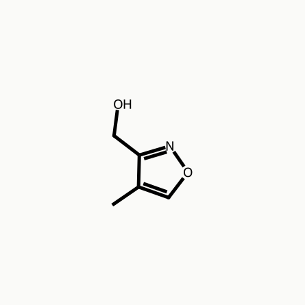 Cc1conc1CO